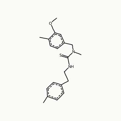 COc1cc(CN(C)C(=S)NCCc2ccc(C)cc2)ccc1C